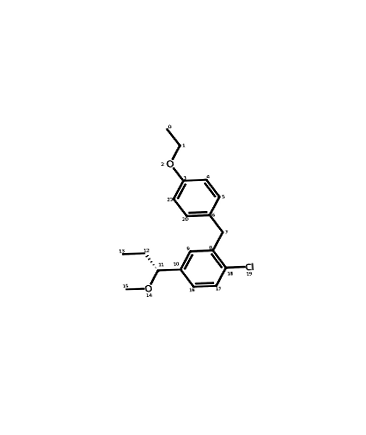 CCOc1ccc(Cc2cc([C@@H](CC)OC)ccc2Cl)cc1